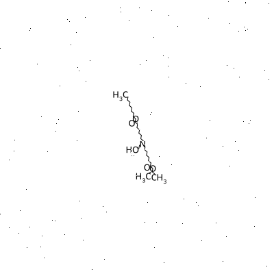 CCCCCCCCCOC(=O)CCCCCCCN(CCO)CCCCCCCC(=O)OC(CC)CC